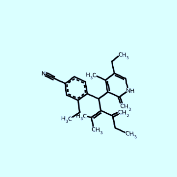 C=C(CC)C(=C(C)C)C(C1=C(C)C(CC)=CNC1=C)c1ccc(C#N)cc1CC